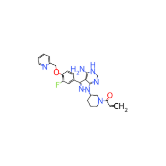 C=CC(=O)N1CCC[C@@H](n2nc(-c3ccc(OCc4ccccn4)c(F)c3)c3c2=NCNC=3N)C1